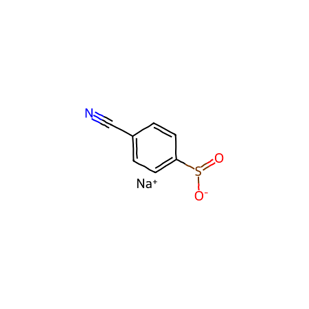 N#Cc1ccc(S(=O)[O-])cc1.[Na+]